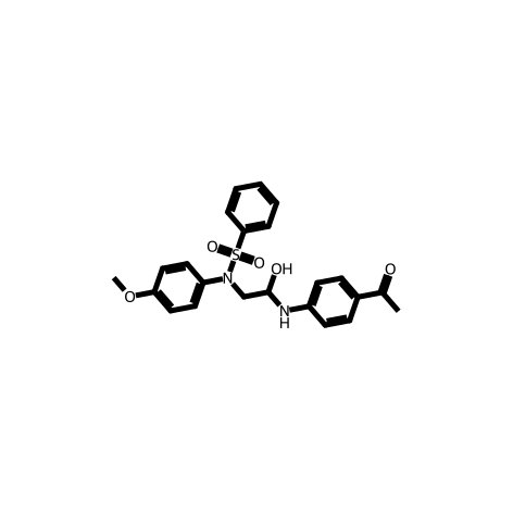 COc1ccc(N(CC(O)Nc2ccc(C(C)=O)cc2)S(=O)(=O)c2ccccc2)cc1